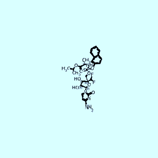 CC(C)OC(=O)[C@H](C)NP(=S)(OC[C@@]1(C(F)F)O[C@@H](n2ccc(N)nc2=O)[C@H](O)[C@@H]1O)Oc1ccc2ccccc2c1